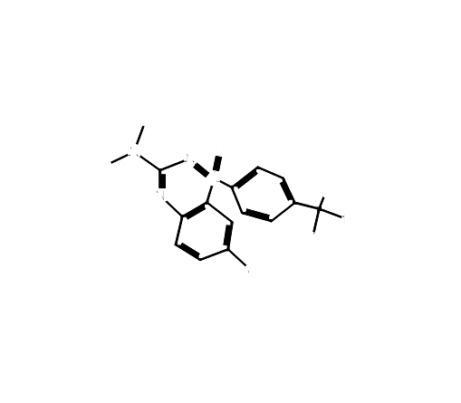 CN(C)C1=Nc2ccc(Cl)cc2S(=O)(c2ccc(C(F)(F)F)cc2)=N1